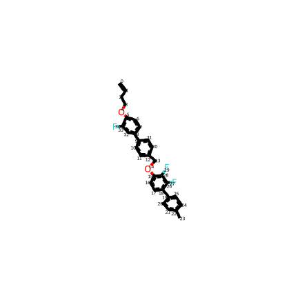 C=CCCOc1ccc(-c2ccc(COc3ccc(-c4ccc(C)cc4)c(F)c3F)cc2)cc1F